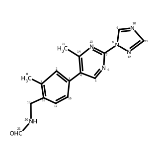 Cc1cc(-c2cnc(-n3cncn3)nc2C)ccc1CNC=O